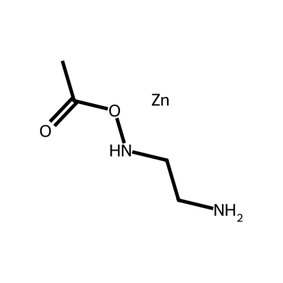 CC(=O)ONCCN.[Zn]